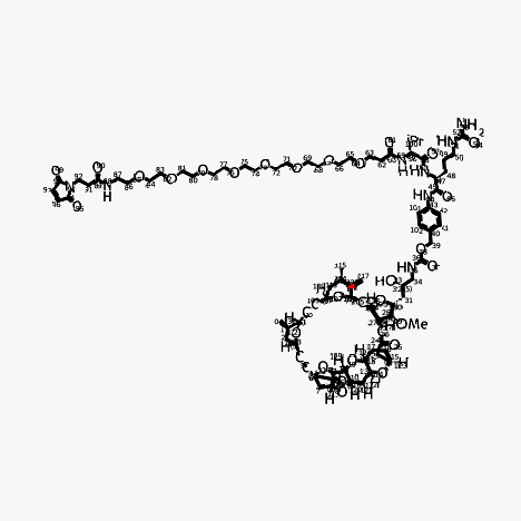 C=C1C[C@@H]2CC[C@@]34C[C@H]5O[C@H]6[C@@H](O3)[C@H]3O[C@H](CC[C@@H]3O[C@H]6[C@H]5O4)CC(=O)C[C@@H]3[C@@H](OC)[C@@H](C[C@H](O)CNC(=O)OCc4ccc(NC(=O)[C@H](CCCNC(N)=O)NC(=O)[C@@H](NC(=O)CCOCCOCCOCCOCCOCCOCCOCCOCCNC(=O)CCN5C(=O)C=CC5=O)C(C)C)cc4)O[C@H]3C[C@H]3O[C@@H](CC[C@@H]1O2)C[C@@H](C)C3=C